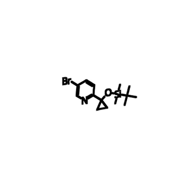 CC(C)(C)[Si](C)(C)OC1(c2ccc(Br)cn2)CC1